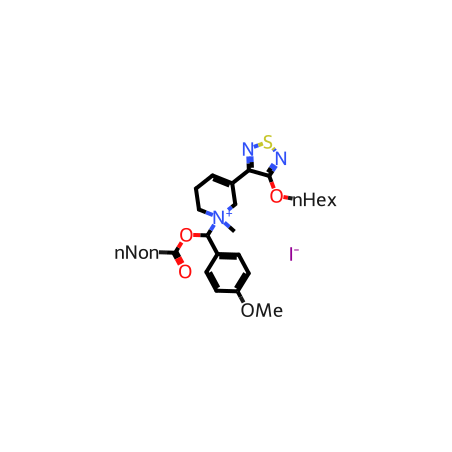 CCCCCCCCCC(=O)OC(c1ccc(OC)cc1)[N+]1(C)CCC=C(c2nsnc2OCCCCCC)C1.[I-]